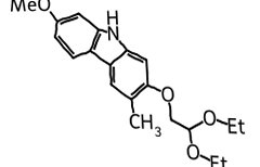 CCOC(COc1cc2[nH]c3cc(OC)ccc3c2cc1C)OCC